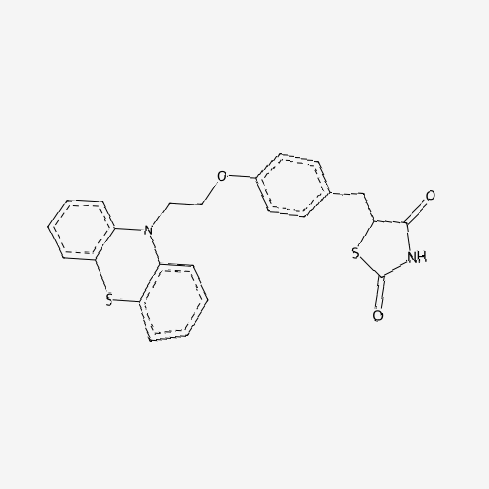 O=C1NC(=O)C(Cc2ccc(OCCN3c4ccccc4Sc4ccccc43)cc2)S1